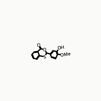 COc1ccc(C2OC(=O)c3ccccc3S2)cc1O